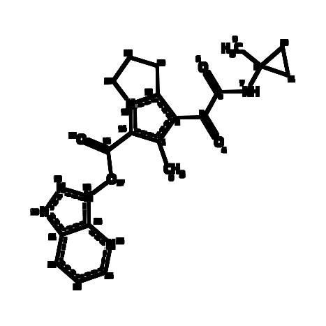 Cc1c(C(=O)C(=O)NC2(C)CC2)c2n(c1C(=O)On1nnc3cccnc31)CCC2